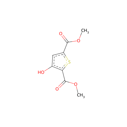 COC(=O)c1cc(O)c(C(=O)OC)s1